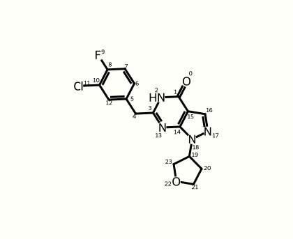 O=c1[nH]c(Cc2ccc(F)c(Cl)c2)nc2c1cnn2C1CCOC1